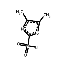 Cc1nc(S(=O)(=O)Cl)sc1C